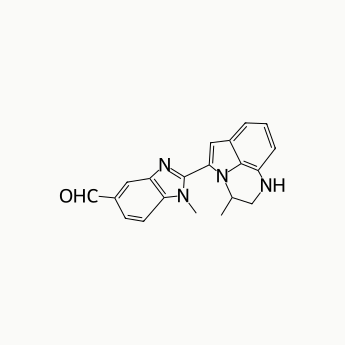 CC1CNc2cccc3cc(-c4nc5cc(C=O)ccc5n4C)n1c23